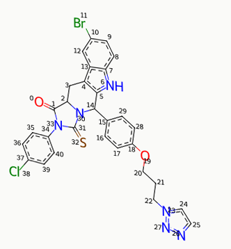 O=C1C2Cc3c([nH]c4ccc(Br)cc34)C(c3ccc(OCCCn4ccnn4)cc3)N2C(=S)N1c1ccc(Cl)cc1